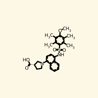 COc1c(C)c(C)c(S(=O)(=O)Nc2ccc(N3CC[C@H](C(=O)O)C3)c3ccccc23)c(C)c1C